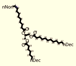 CCCCCCCCC/C=C\CCCCCCCC(=O)O[C@H](COC(=O)CCCCCCCCCCCCCCC)COC(=O)CCCCCCCCCCCCCCCCCCCC